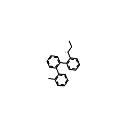 CC[CH]c1ccccc1-c1ccccc1-c1ccccc1C